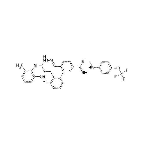 Cc1cccc(C)c1/N=C(/N)SCc1c(F)cccc1-c1cc(C(=N)/N=C\Nc2ccc(OC(F)(F)F)cc2)ccc1C=N